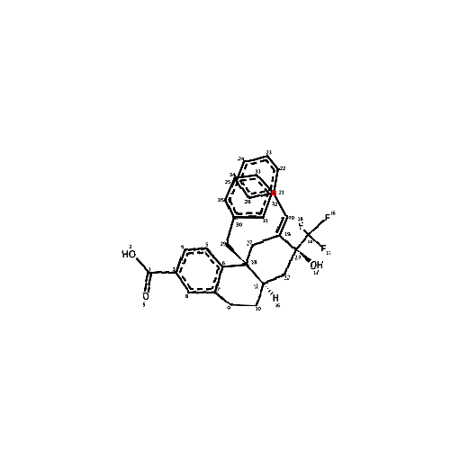 O=C(O)c1ccc2c(c1)CC[C@@H]1C[C@@](O)(C(F)(F)F)/C(=C/c3ccccc3)C[C@@]21Cc1ccccc1